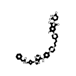 O=C1CC[C@H](N2C(=O)c3cc(F)c(N4CCC(CCCN5CCN(c6ccc(Nc7ncnc8c7ncn8C7CC(NC(=O)Cc8ccccc8)C7)cc6)CC5)CC4)cc3C2=O)C(=O)N1